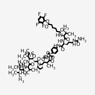 CC[C@H](C)[C@@H]([C@@H](CC(=O)N1CCC[C@H]1[C@H](OC)[C@@H](C)C(=O)NS(=O)(=O)c1ccc(NC(=O)[C@H](CCCNC(N)=O)NC(=O)[C@@H](NC(=O)CCCCC(=O)Oc2c(F)c(F)cc(F)c2F)C(C)C)cc1)OC)N(C)C(=O)[C@@H](NC(=O)[C@H](C(C)C)N(C)C)C(C)C